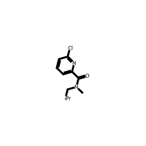 CC(C)CN(C)C(=O)c1cccc(Cl)n1